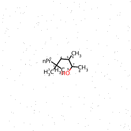 CCCC(C)(C)CC(C)C(C)O